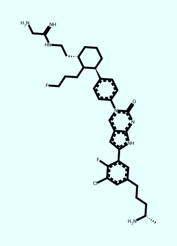 C[C@H](N)CCCc1cc(Cl)c(F)c(-c2cc3cn(-c4ccc([C@@H]5CCC[C@@H](CCNC(=N)CN)C5CCCF)cc4)c(=O)nc3[nH]2)c1